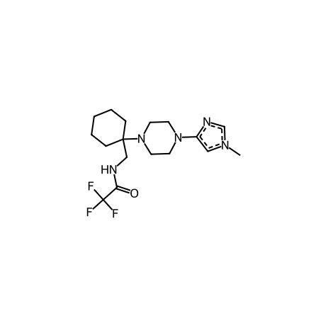 Cn1cnc(N2CCN(C3(CNC(=O)C(F)(F)F)CCCCC3)CC2)c1